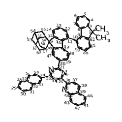 CC1(C)c2ccccc2-c2c(-c3cccc4c3-c3ccc(-c5nc(-c6ccc7ccccc7c6)nc(-c6ccc7ccccc7n6)n5)cc3C43C4CC5CC(C4)CC3C5)cccc21